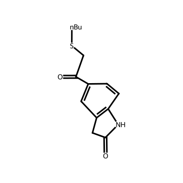 CCCCSCC(=O)c1ccc2c(c1)CC(=O)N2